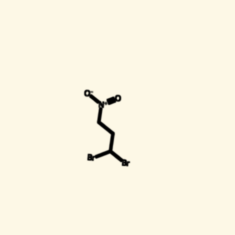 O=[N+]([O-])CCC(Br)Br